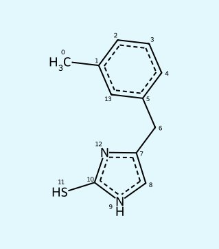 Cc1cccc(Cc2c[nH]c(S)n2)c1